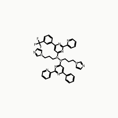 FC(F)(F)c1cccc(-c2cc(N(CCCn3ccnc3)N(CCCn3ccnc3)c3cc(-c4ccccc4)nc(-c4ccccn4)n3)nc(-c3ccccn3)n2)c1